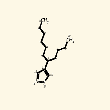 CCCCCCC(CCCC)c1cnsc1